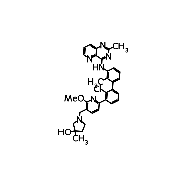 COc1nc(-c2cccc(-c3cccc(Nc4nc(C)nc5cccnc45)c3C)c2Cl)ccc1CN1CCC(C)(O)C1